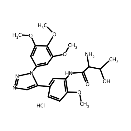 COc1ccc(-c2cnnn2-c2cc(OC)c(OC)c(OC)c2)cc1NC(=O)C(N)C(C)O.Cl